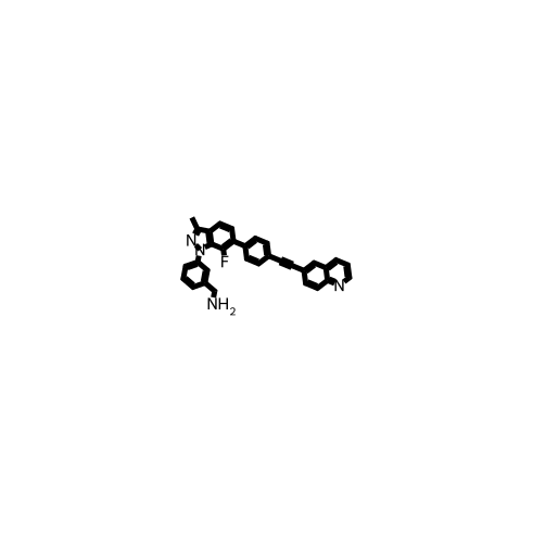 Cc1nn(-c2cccc(CN)c2)c2c(F)c(-c3ccc(C#Cc4ccc5ncccc5c4)cc3)ccc12